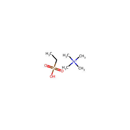 CCS(=O)(=O)O.C[N+](C)(C)C